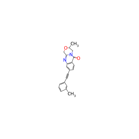 Cc1cccc(C#Cc2ccc3c(=O)n4c(nc3c2)COC(C)C4)c1